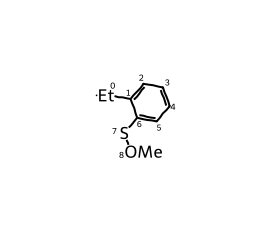 C[CH]c1ccccc1SOC